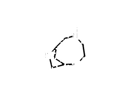 C1COC2CNC(CN1)C2